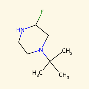 CC(C)(C)N1CCNC(F)C1